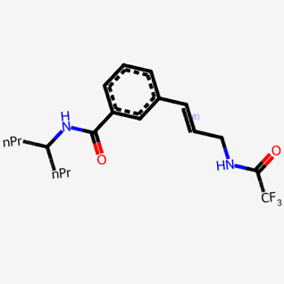 CCCC(CCC)NC(=O)c1cccc(/C=C/CNC(=O)C(F)(F)F)c1